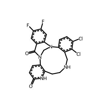 O=C1c2cc(F)c(F)cc2N2CN1c1ccc(=O)[nH]c1CCNCc1c2ccc(Cl)c1Cl